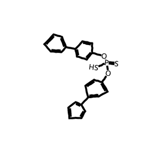 S=P(S)(Oc1ccc(-c2ccccc2)cc1)Oc1ccc(-c2ccccc2)cc1